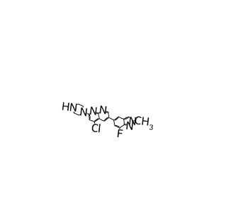 Cn1cc2cc(-c3cnc4nc(N5CCNCC5)cc(Cl)c4c3)cc(F)c2n1